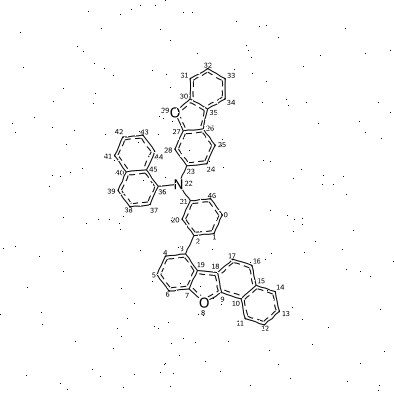 c1cc(-c2cccc3oc4c5ccccc5ccc4c23)cc(N(c2ccc3c(c2)oc2ccccc23)c2cccc3ccccc23)c1